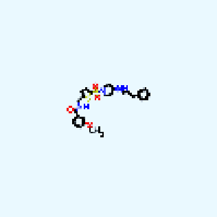 COc1cccc(C(=O)NCc2ccc(S(=O)(=O)N3CCC(NCCCc4ccccc4)CC3)s2)c1